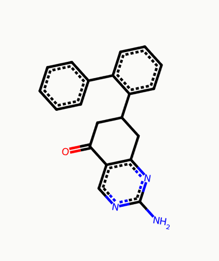 Nc1ncc2c(n1)CC(c1ccccc1-c1ccccc1)CC2=O